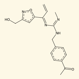 C=C/C(=N\C(=N/C)NCc1ccc(C(C)=O)cc1)c1cc(CO)no1